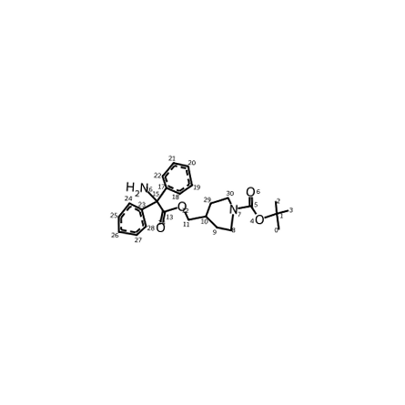 CC(C)(C)OC(=O)N1CCC(COC(=O)C(N)(c2ccccc2)c2ccccc2)CC1